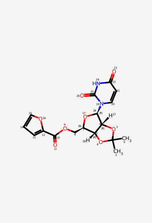 CC1(C)O[C@@H]2[C@H](O1)[C@@H](COC(=O)c1ccco1)O[C@H]2n1ccc(=O)[nH]c1=O